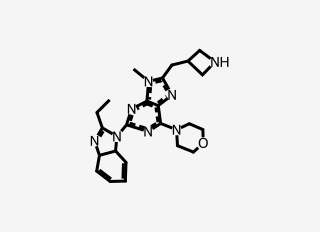 CCC1=NC2C=CC=CC2N1c1nc(N2CCOCC2)c2nc(CC3CNC3)n(C)c2n1